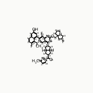 CCc1c(F)ccc2cc(O)cc(-c3ncc4c(N5C[C@H]6CC(C(=O)n7ccc(C)n7)C[C@H]6C5)nc(OC[C@@]56CCCN5C[C@H](F)C6)nc4c3F)c12